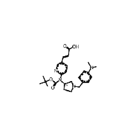 CN(C)c1ccc(CN2CC[C@@H](N(C(=O)OC(C)(C)C)c3ccc(C=CC(=O)O)cn3)C2)cc1